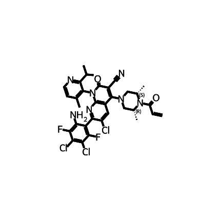 C=CC(=O)N1[C@H](C)CN(c2c(C#N)c(=O)n(-c3c(C)ccnc3C(C)C)c3nc(-c4c(N)c(F)c(Cl)c(Cl)c4F)c(Cl)cc23)C[C@@H]1C